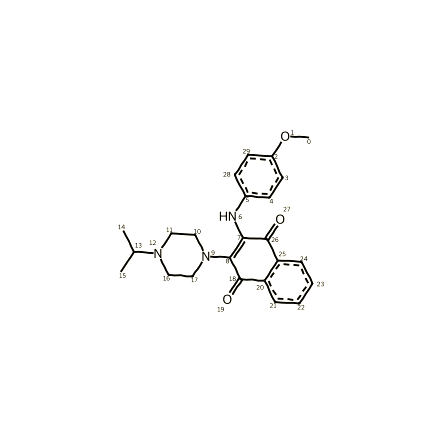 COc1ccc(NC2=C(N3CCN(C(C)C)CC3)C(=O)c3ccccc3C2=O)cc1